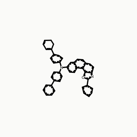 C1=CCCC(c2ccc(N(c3ccc(-c4ccccc4)cc3)c3ccc4c(ccc5ccc6nc(-c7ccccc7)oc6c54)c3)cc2)=C1